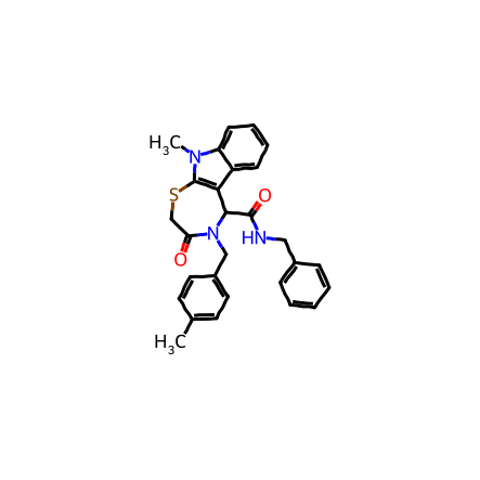 Cc1ccc(CN2C(=O)CSc3c(c4ccccc4n3C)C2C(=O)NCc2ccccc2)cc1